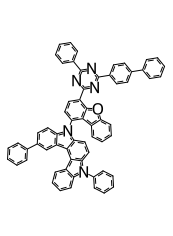 c1ccc(-c2ccc(-c3nc(-c4ccccc4)nc(-c4ccc(-n5c6ccc(-c7ccccc7)cc6c6c7c8ccccc8n(-c8ccccc8)c7ccc65)c5c4oc4ccccc45)n3)cc2)cc1